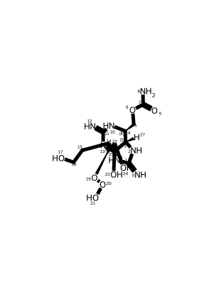 N=C1N[C@H]2[C@H](COC(N)=O)NC(=N)N3C(CCO)[C@H](OOO)C(O)(O)[C@]23N1